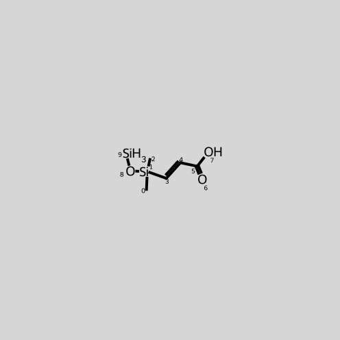 C[Si](C)(C=CC(=O)O)O[SiH3]